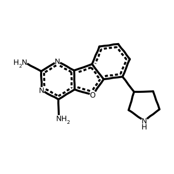 Nc1nc(N)c2oc3c(C4CCNC4)cccc3c2n1